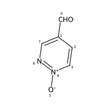 O=[C]c1cc[n+]([O-])nc1